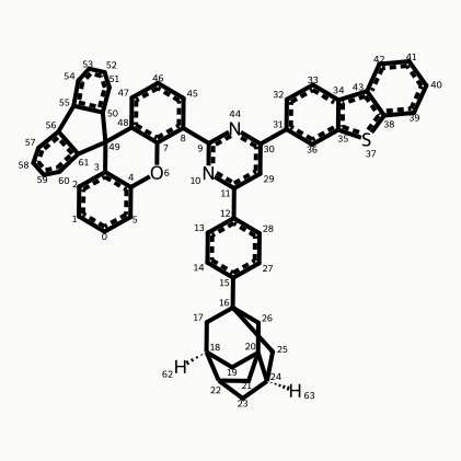 c1ccc2c(c1)Oc1c(-c3nc(-c4ccc(C56C[C@H]7CC8(CC7C[C@@H]8C5)C6)cc4)cc(-c4ccc5c(c4)sc4ccccc45)n3)cccc1C21c2ccccc2-c2ccccc21